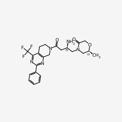 C[C@H]1CN(C[C@H](N)CC(=O)N2CCc3c(nc(-c4ccccc4)nc3C(F)(F)F)C2)C(=O)CO1